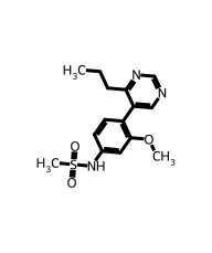 CCCc1ncncc1-c1ccc(NS(C)(=O)=O)cc1OC